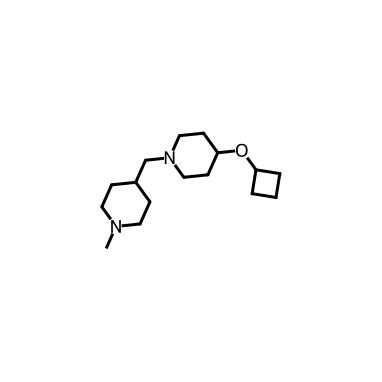 CN1CCC(CN2CCC(OC3CCC3)CC2)CC1